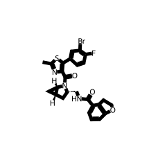 Cc1nc(C(=O)N2[C@H](CNC(=O)c3cccc4c3CCO4)C[C@@H]3C[C@@H]32)c(-c2ccc(F)c(Br)c2)s1